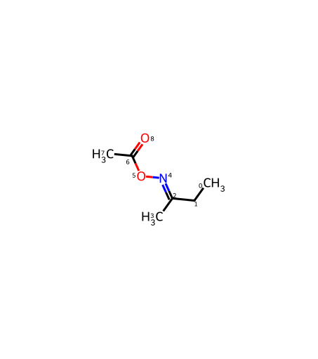 CCC(C)=NOC(C)=O